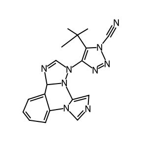 CC(C)(C)c1c(N2C=NC3c4ccccc4-n4cncc4N32)nnn1C#N